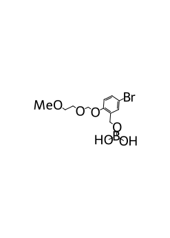 COCCOCOc1ccc(Br)cc1COB(O)O